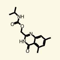 Cc1cc(C)c2c(=O)[nH]c(COC(=O)NC(C)C)nc2c1